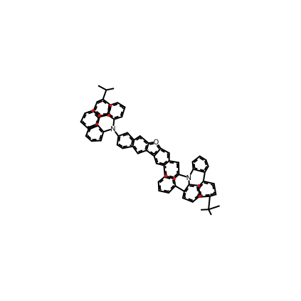 CC(C)c1ccc(-c2ccccc2N(c2ccc3cc4c(cc3c2)oc2cc3cc(N(c5ccccc5-c5ccccc5)c5ccccc5-c5ccc(C(C)(C)C)cc5)ccc3cc24)c2ccccc2-c2ccccc2)cc1